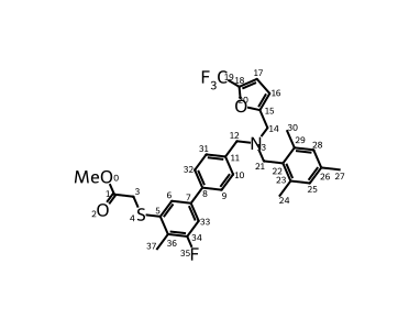 COC(=O)CSc1cc(-c2ccc(CN(Cc3ccc(C(F)(F)F)o3)Cc3c(C)cc(C)cc3C)cc2)cc(F)c1C